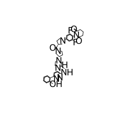 O=C([C@H]1CCN(c2cc(F)c(N3C(=O)CCCC3=O)c(F)c2)C1)N1CCC(N2CCN3c4cc(-c5ccccc5O)nnc4NC[C@H]3C2)C1